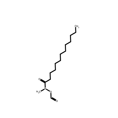 CCCCCCCCCCCCC(=O)N(C)OC=O